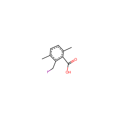 Cc1ccc(C)c(C(=O)O)c1CI